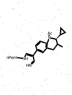 CCCCCN/C=C(\C=N)c1ccc2c(c1)CC(C)[C@H](C1CC1)N2C(C)=O